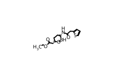 CCOC(=O)C[C@@H]1CC[C@H](NC(=O)Cc2cccs2)BO1